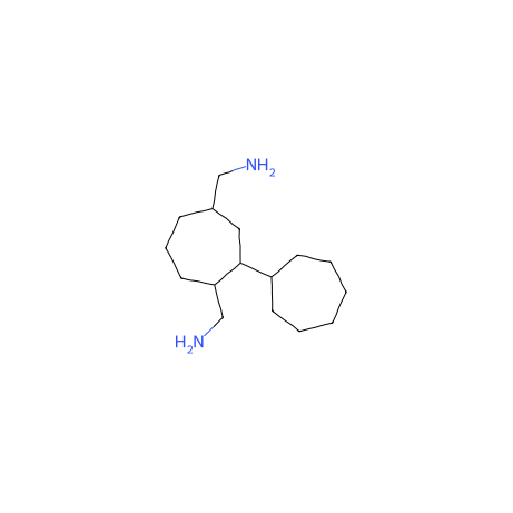 NCC1CCCC(CN)C(C2CCCCCC2)C1